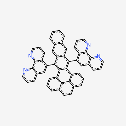 c1ccc2cc3c(-c4cc5cccnc5c5ncccc45)c4c5cccc6ccc7cccc(c4c(-c4cc8cccnc8c8ncccc48)c3cc2c1)c7c65